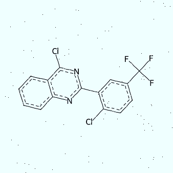 FC(F)(F)c1ccc(Cl)c(-c2nc(Cl)c3ccccc3n2)c1